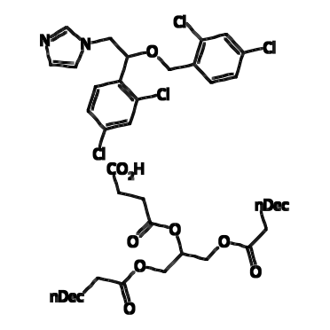 CCCCCCCCCCCC(=O)OCC(COC(=O)CCCCCCCCCCC)OC(=O)CCC(=O)O.Clc1ccc(COC(Cn2ccnc2)c2ccc(Cl)cc2Cl)c(Cl)c1